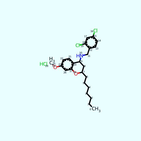 CCCCCCCC1CC(NCc2ccc(Cl)cc2Cl)c2ccc(OC)cc2O1.Cl